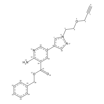 C#CCOCCn1cc(-c2cnc(N)c(C(=O)OCc3ccccc3)c2)cn1